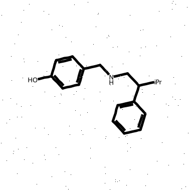 CC(C)C(CNCc1ccc(O)cc1)c1ccccc1